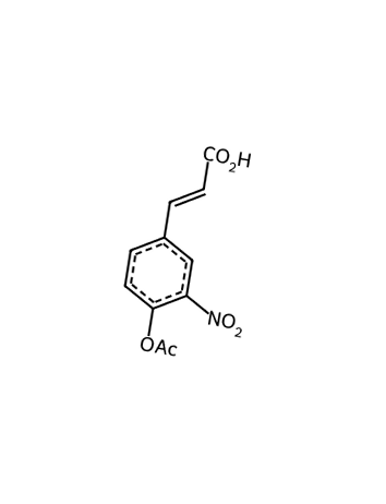 CC(=O)Oc1ccc(C=CC(=O)O)cc1[N+](=O)[O-]